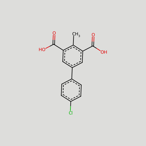 Cc1c(C(=O)O)cc(-c2ccc(Cl)cc2)cc1C(=O)O